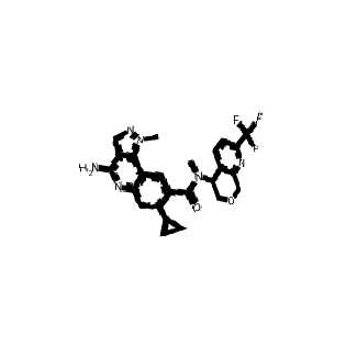 CN(C(=O)c1cc2c(cc1C1CC1)nc(N)c1cnn(C)c12)C1COCc2nc(C(F)(F)F)ccc21